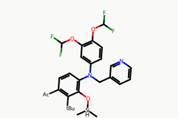 CC(=O)c1ccc(N(Cc2cccnc2)c2ccc(OC(F)F)c(OC(F)F)c2)c(O[SiH](C)C)c1C(C)(C)C